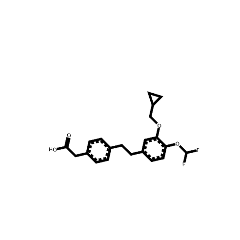 O=C(O)Cc1ccc(CCc2ccc(OC(F)F)c(OCC3CC3)c2)cc1